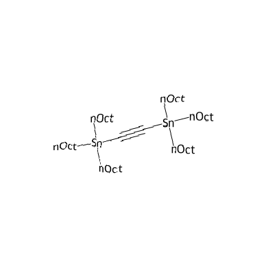 CCCCCCC[CH2][Sn]([C]#[C][Sn]([CH2]CCCCCCC)([CH2]CCCCCCC)[CH2]CCCCCCC)([CH2]CCCCCCC)[CH2]CCCCCCC